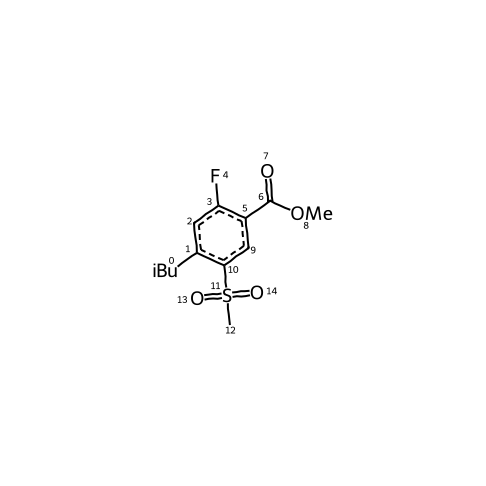 CCC(C)c1cc(F)c(C(=O)OC)cc1S(C)(=O)=O